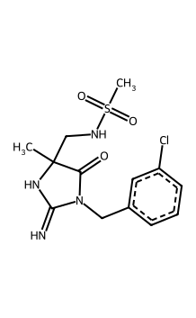 CC1(CNS(C)(=O)=O)NC(=N)N(Cc2cccc(Cl)c2)C1=O